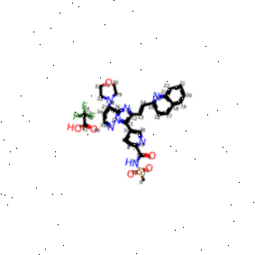 CS(=O)(=O)NC(=O)c1ccc(-c2c(/C=C/c3ccc4ccccc4n3)nc3c(N4CCOCC4)ccnn23)cn1.O=C(O)C(F)(F)F